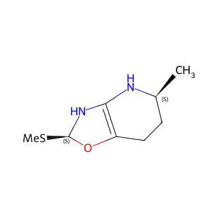 CS[C@H]1NC2=C(CC[C@H](C)N2)O1